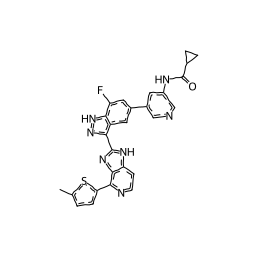 Cc1ccc(-c2nccc3[nH]c(-c4n[nH]c5c(F)cc(-c6cncc(NC(=O)C7CC7)c6)cc45)nc23)s1